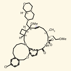 COCC[C@H]1[C@@H](C)C/C=C/[C@](CN2CCN3CCOC[C@@H]3C2)(OC)[C@@H]2CC[C@H]2CN2CCCCc3cc(Cl)ccc3COc3ccc(nc32)C(=O)NS1(=O)=O